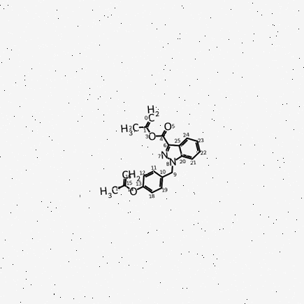 C=C(C)OC(=O)c1nn(Cc2ccc(OC(=C)C)cc2)c2ccccc12